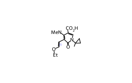 CCO/C=C/c1c(NC)c(C(=O)O)cn(C2(C)CC2)c1=O